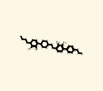 CCCCC1CC=C(C2CCC(CCc3ccc(-c4ccc(CCC)cc4)c(F)c3F)CC2)C(F)=C1F